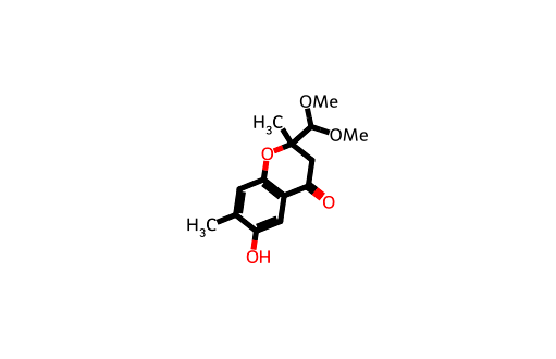 COC(OC)C1(C)CC(=O)c2cc(O)c(C)cc2O1